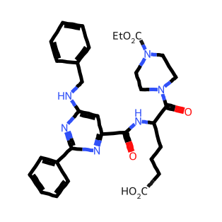 CCOC(=O)N1CCN(C(=O)C(CCCC(=O)O)NC(=O)c2cc(NCc3ccccc3)nc(-c3ccccc3)n2)CC1